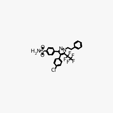 NS(=O)(=O)c1ccc(-c2nn(CCc3ccccc3)c(C(F)(F)C(F)(F)F)c2-c2ccc(Cl)cc2)cc1